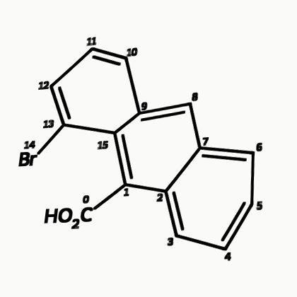 O=C(O)c1c2ccccc2cc2cccc(Br)c12